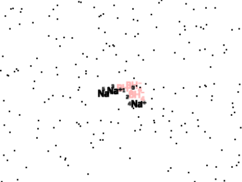 [BH4-].[BH4-].[BH4-].[Na+].[Na+].[Na+]